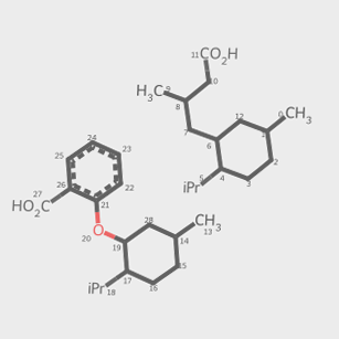 CC1CCC(C(C)C)C(CC(C)CC(=O)O)C1.CC1CCC(C(C)C)C(Oc2ccccc2C(=O)O)C1